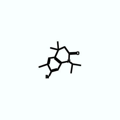 Cc1cc2c(cc1Br)N(C(C)C)C(=O)CC2(C)C